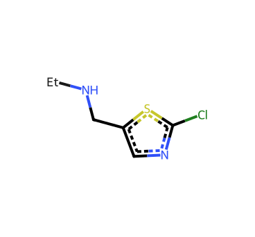 CCNCc1cnc(Cl)s1